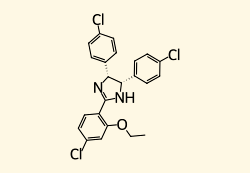 CCOc1cc(Cl)ccc1C1=N[C@H](c2ccc(Cl)cc2)[C@H](c2ccc(Cl)cc2)N1